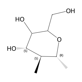 C[C@H]1[C@H](O)C(O)C(CO)O[C@@H]1C